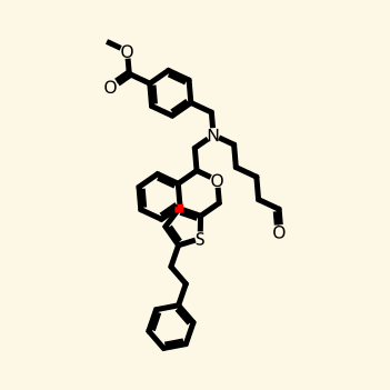 COC(=O)c1ccc(CN(CCCCC=O)CC(OCc2ccc(CCc3ccccc3)s2)c2ccccc2)cc1